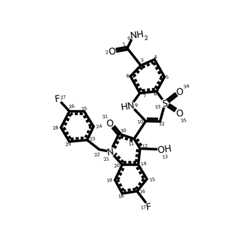 NC(=O)c1[c]cc2c(c1)NC(c1c(O)c3cc(F)ccc3n(Cc3ccc(F)cc3)c1=O)=CS2(=O)=O